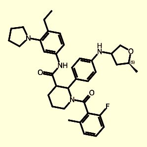 CCc1ccc(NC(=O)C2CCCN(C(=O)c3c(C)cccc3F)C2c2ccc(NC3CO[C@@H](C)C3)cc2)cc1N1CCCC1